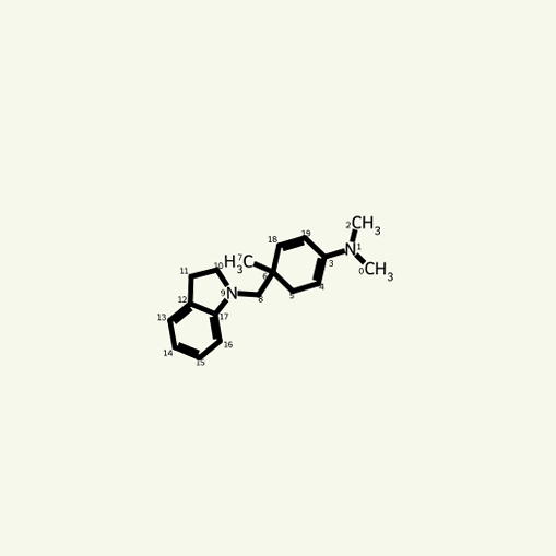 CN(C)C1=CCC(C)(CN2CCc3ccccc32)C=C1